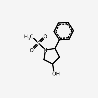 CS(=O)(=O)N1CC(O)CC1c1ccccc1